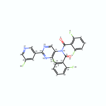 O=C(c1c(F)cccc1F)N(C(=O)c1c(F)cccc1F)c1cnc(-c2cncc(F)c2)nc1C(F)(F)F